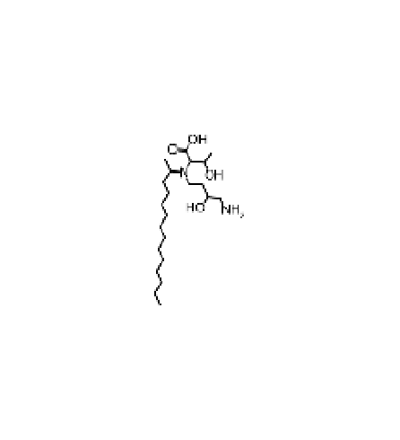 CCCCCCCCCCCCC(C)N(CCC(O)CN)C(C(=O)O)C(C)O